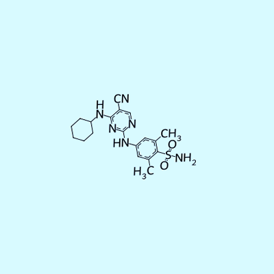 Cc1cc(Nc2ncc(C#N)c(NC3CCCCC3)n2)cc(C)c1S(N)(=O)=O